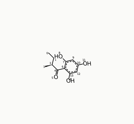 CC[C@H](C)C(=O)c1c(O)cc(O)cc1O